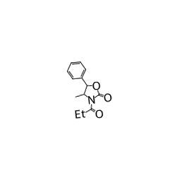 CCC(=O)N1C(=O)OC(c2ccccc2)C1C